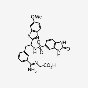 COc1ccc2nc(C(Cc3cccc(C(N)=NCC(=O)O)c3)NS(=O)(=O)c3ccc4[nH]c(=O)[nH]c4c3)sc2c1